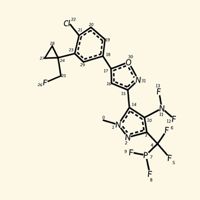 Cn1nc(C(F)(F)P(F)F)c(N(F)F)c1-c1cc(-c2ccc(Cl)c(C3(CF)CC3)c2)on1